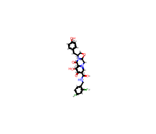 O=C(NCc1ccc(F)cc1F)c1cn2c(c(O)c1=O)C(=O)N1C(Cc3ccc(O)cc3)COC1C2